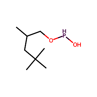 CC(COPO)CC(C)(C)C